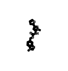 Cn1nc(C2CC=CO2)cc1NC(=O)OCc1ccc2c(c1)ncn2C